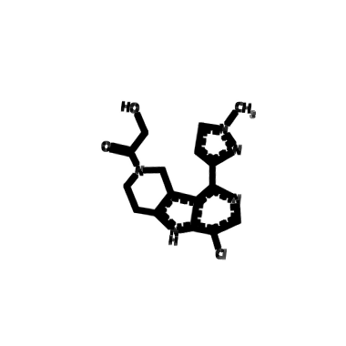 Cn1ccc(-c2ncc(Cl)c3[nH]c4c(c23)CN(C(=O)CO)CC4)n1